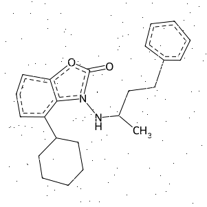 CC(CCc1ccccc1)Nn1c(=O)oc2cccc(C3CCCCC3)c21